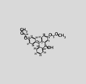 COCOc1ccc(C(c2ccc(OCOC)cc2)c2ccccc2CO)cc1